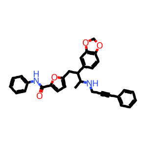 CC(NCC#Cc1ccccc1)C(Cc1ccc(C(=O)Nc2ccccc2)o1)c1ccc2c(c1)OCO2